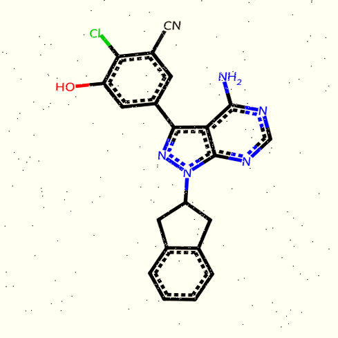 N#Cc1cc(-c2nn(C3Cc4ccccc4C3)c3ncnc(N)c23)cc(O)c1Cl